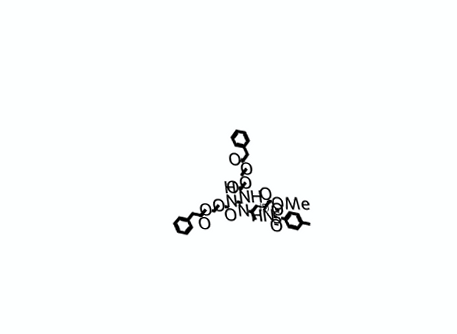 COC(=O)[C@H](CC(C)N=C(NC(=O)OCOC(=O)Cc1ccccc1)NC(=O)OCOC(=O)Cc1ccccc1)NS(=O)(=O)c1ccc(C)cc1